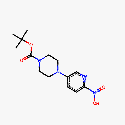 CC(C)(C)OC(=O)N1CCN(c2ccc([N+](=O)O)nc2)CC1